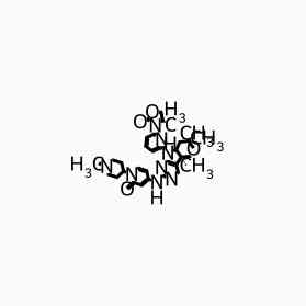 C[C@H]1COC(=O)N1c1cccc(N2c3nc(Nc4ccn(C5CCN(C)CC5)c(=O)c4)ncc3[C@]3(C)COC(C)(C)C[C@H]23)n1